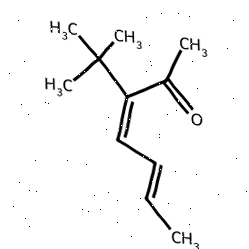 CC=CC=C(C(C)=O)C(C)(C)C